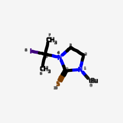 CC(C)(C)N1CCN(C(C)(C)I)C1=S